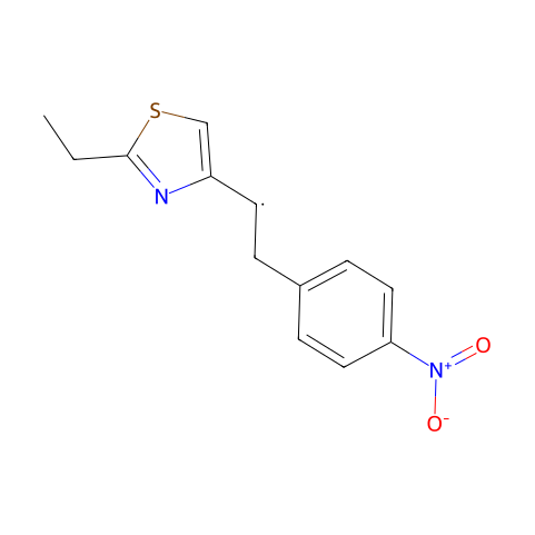 CCc1nc([CH]Cc2ccc([N+](=O)[O-])cc2)cs1